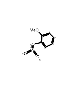 COc1ccccc1O[SH](=O)=O